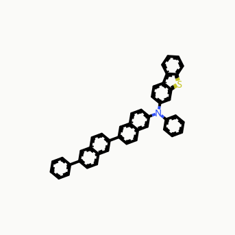 c1ccc(-c2ccc3cc(-c4ccc5cc(N(c6ccccc6)c6ccc7c(c6)sc6ccccc67)ccc5c4)ccc3c2)cc1